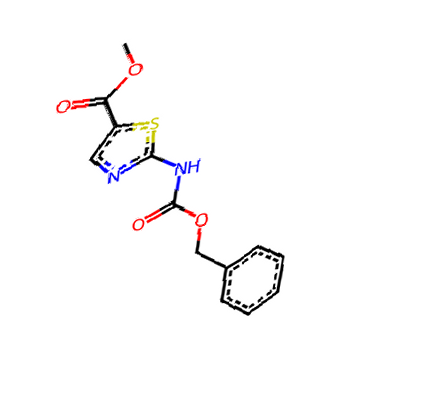 COC(=O)c1cnc(NC(=O)OCc2ccccc2)s1